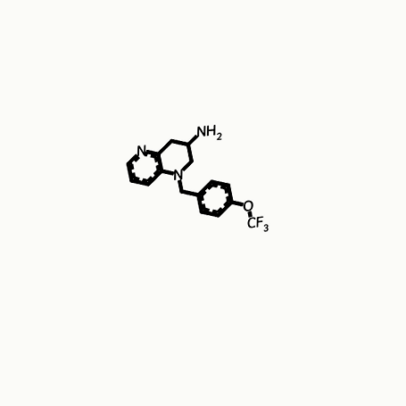 NC1Cc2ncccc2N(Cc2ccc(OC(F)(F)F)cc2)C1